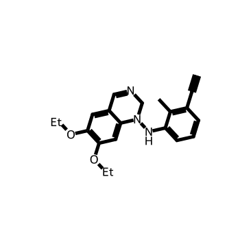 C#Cc1cccc(NN2CN=Cc3cc(OCC)c(OCC)cc32)c1C